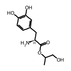 CC(CO)OC(=O)[C@@H](N)Cc1ccc(O)c(O)c1